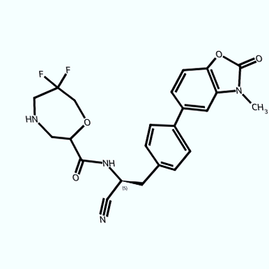 Cn1c(=O)oc2ccc(-c3ccc(C[C@@H](C#N)NC(=O)C4CNCC(F)(F)CO4)cc3)cc21